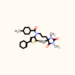 CC1CCC(C(=O)N(CCCC2(C)C(=O)N(C)C(=O)N2C)C2C=C(C3=CCCCC3)SC2C(=O)O)CC1